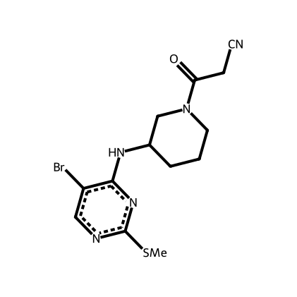 CSc1ncc(Br)c(NC2CCCN(C(=O)CC#N)C2)n1